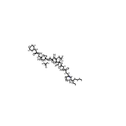 CCCCC(CC)N/C=C(/CCC(=O)NCC(=O)O[C@](C)(CC)C(=O)[C@H](CC(C)C)NC(=O)CNC(=O)[C@H](CC(C)C)NC(=O)CNC(=O)CN1CCOCC1)N=N